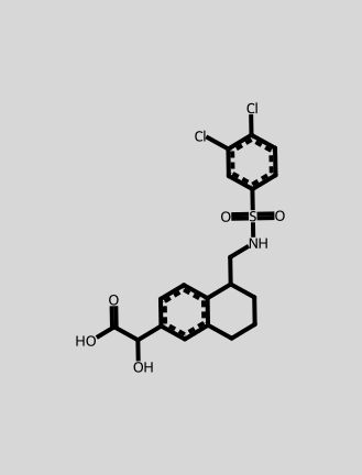 O=C(O)C(O)c1ccc2c(c1)CCCC2CNS(=O)(=O)c1ccc(Cl)c(Cl)c1